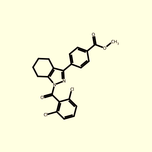 COC(=O)c1ccc(-c2nn(C(=O)c3c(Cl)cccc3Cl)c3c2CCCC3)cc1